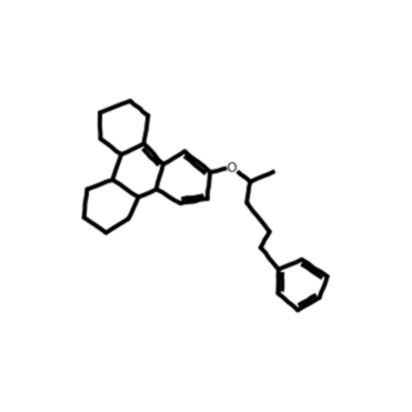 CC(CCCc1ccccc1)OC1=CC2=C3CCCCC3C3CCCCC3C2C=C1